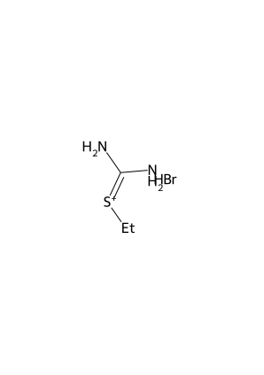 Br.CC[S+]=C(N)N